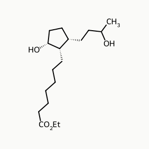 CCOC(=O)CCCCCC[C@H]1[C@@H](CCC(C)O)CC[C@H]1O